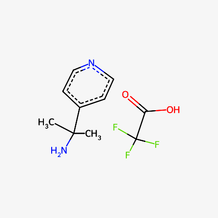 CC(C)(N)c1ccncc1.O=C(O)C(F)(F)F